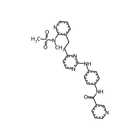 CN(c1ncccc1CCc1ccnc(Nc2ccc(NC(=O)c3cccnc3)cc2)n1)S(C)(=O)=O